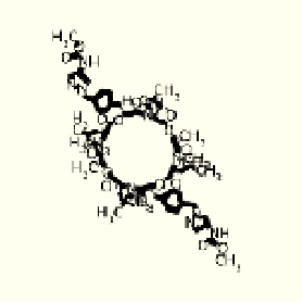 COC(=O)Nc1cnn(Cc2ccc(C[C@H]3OC(=O)[C@H](CC(C)C)N(C)C(=O)[C@@H](C)OC(=O)[C@H](CC(C)C)N(C)C(=O)[C@@H](Cc4ccc(Cn5cc(NC(=O)OC)cn5)cc4)OC(=O)[C@H](CC(C)C)N(C)C(=O)[C@@H](C)OC(=O)[C@H](CC(C)C)N(C)C3=O)cc2)c1